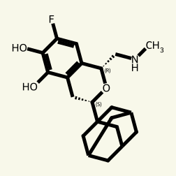 CNC[C@@H]1O[C@H](C23CC4CC(CC(C4)C2)C3)Cc2c1cc(F)c(O)c2O